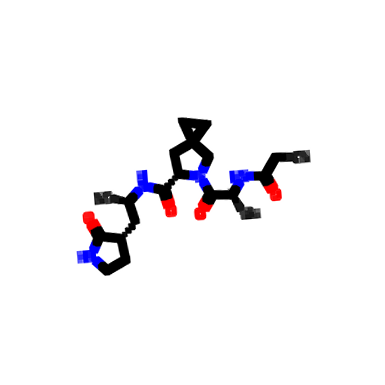 CC(C)(C)[C@H](NC(=O)CC#N)C(=O)N1CC2(CC2)C[C@H]1C(=O)N[C@H](C#N)C[C@@H]1CCNC1=O